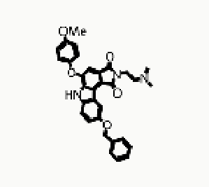 COc1ccc(Oc2cc3c(c4c2[nH]c2ccc(OCc5ccccc5)cc24)C(=O)N(CCN(C)C)C3=O)cc1